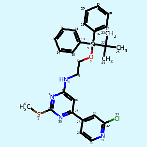 CSc1nc(NCCO[Si](c2ccccc2)(c2ccccc2)C(C)(C)C)cc(-c2ccnc(Cl)c2)n1